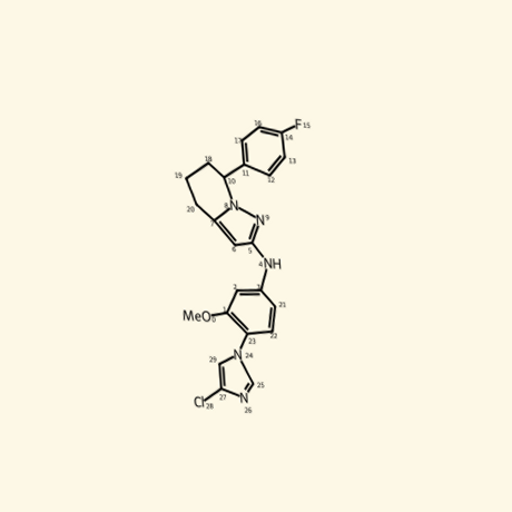 COc1cc(Nc2cc3n(n2)C(c2ccc(F)cc2)CCC3)ccc1-n1cnc(Cl)c1